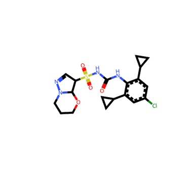 O=C(Nc1c(C2CC2)cc(Cl)cc1C1CC1)NS(=O)(=O)C1C=NN2CCCOC12